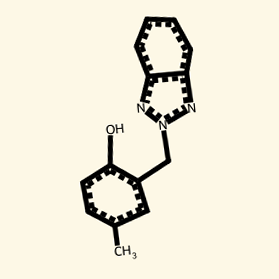 Cc1ccc(O)c(Cn2nc3ccccc3n2)c1